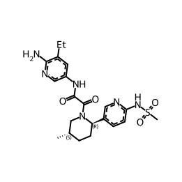 CCc1cc(NC(=O)C(=O)N2C[C@@H](C)CC[C@@H]2c2ccc(NS(C)(=O)=O)nc2)cnc1N